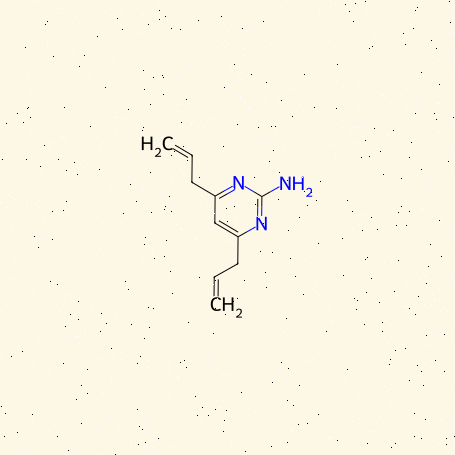 C=CCc1cc(CC=C)nc(N)n1